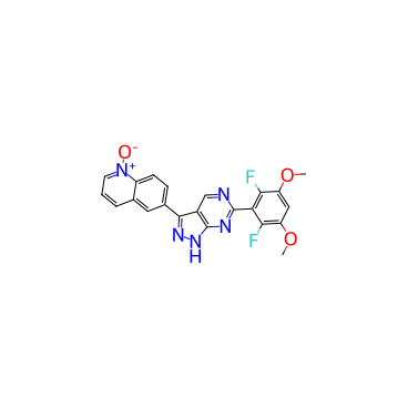 COc1cc(OC)c(F)c(-c2ncc3c(-c4ccc5c(ccc[n+]5[O-])c4)n[nH]c3n2)c1F